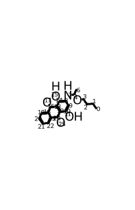 CCCCOC(C)Nc1cc(O)c2c(c1O)C(=O)c1ccccc1C2=O